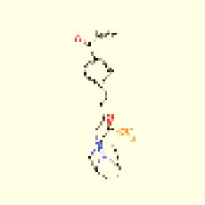 CNC(=O)c1ccc(CCCCN2CC3CCC(C2)N3CC(=O)P)cc1